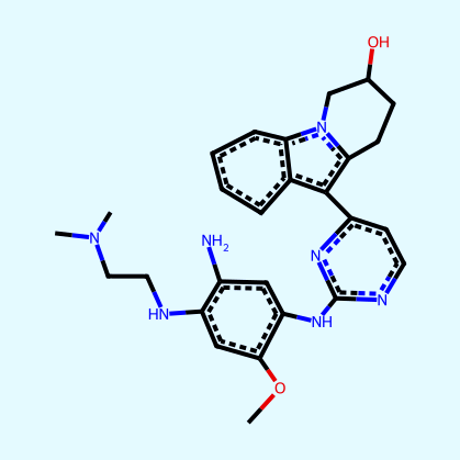 COc1cc(NCCN(C)C)c(N)cc1Nc1nccc(-c2c3n(c4ccccc24)CC(O)CC3)n1